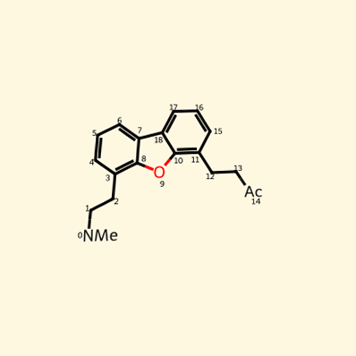 CNCCc1cccc2c1oc1c(CCC(C)=O)cccc12